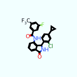 O=C(Nc1cccc2c1C(c1ccc(C3CC3)cc1Cl)NC2=O)c1cc(F)cc(C(F)(F)F)c1